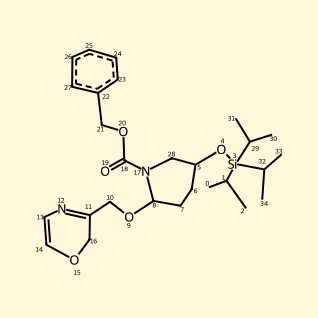 CC(C)[Si](OC1CCC(OCC2=NC=COC2)N(C(=O)OCc2ccccc2)C1)(C(C)C)C(C)C